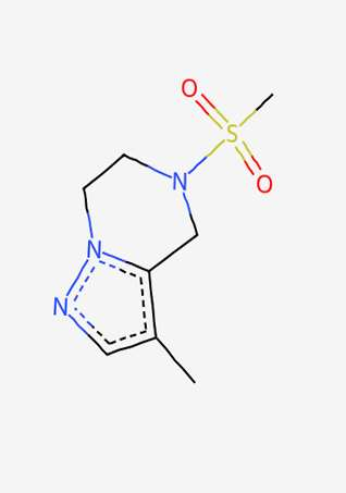 Cc1cnn2c1CN(S(C)(=O)=O)CC2